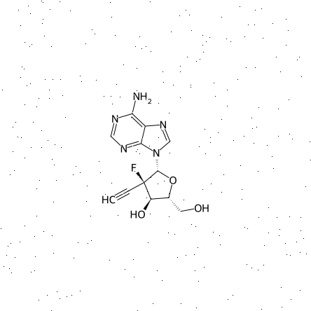 C#C[C@@]1(F)[C@H](O)[C@@H](CO)O[C@H]1n1cnc2c(N)ncnc21